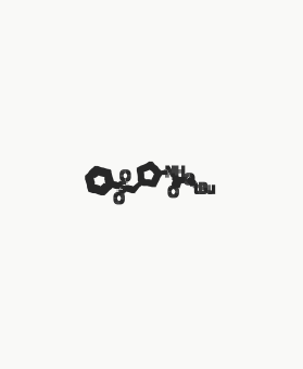 CC(C)(C)OC(=O)N[C@@H]1CC[C@H](CS(=O)(=O)c2ccccc2)C1